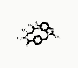 Cc1ccc2nc(C)n(Cc3ccc(C(=O)N(C)[C@H](C)CC(=N)C(C)C)cc3)c2c1